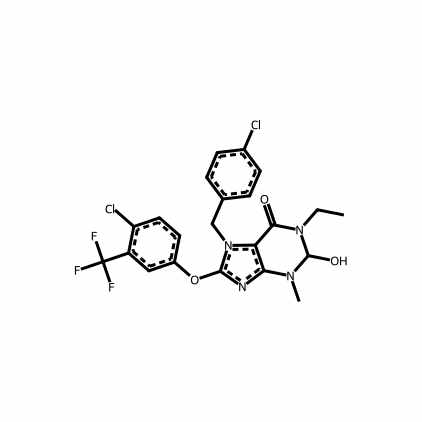 CCN1C(=O)c2c(nc(Oc3ccc(Cl)c(C(F)(F)F)c3)n2Cc2ccc(Cl)cc2)N(C)C1O